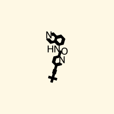 CC(C)(C)C#Cc1ccc(C(=O)Nc2cccc3cnccc23)nc1